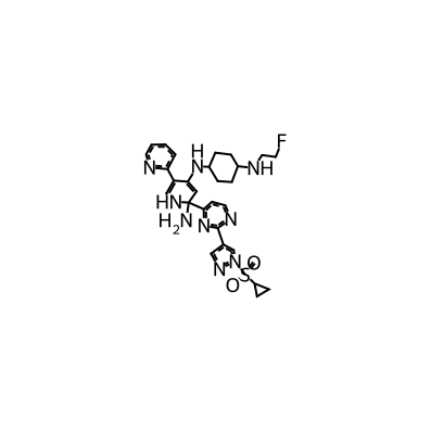 NC1(c2ccnc(-c3cnn(S(=O)(=O)C4CC4)c3)n2)C=C(NC2CCC(NCCF)CC2)C(c2ccccn2)=CN1